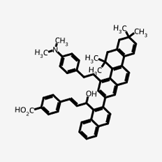 CN(C)c1ccc(CCc2cc(-c3ccc4ccccc4c3C(O)C=Cc3ccc(C(=O)O)cc3)cc3ccc4c(c23)C(C)(C)CC2=C4C=CC(C)(C)C2)cc1